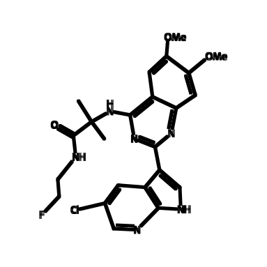 COc1cc2nc(-c3c[nH]c4ncc(Cl)cc34)nc(NC(C)(C)C(=O)NCCF)c2cc1OC